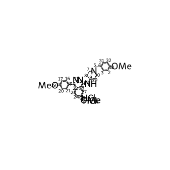 COc1ccc(CN2CCC(Nc3nnc(-c4ccc(OC)cc4)c4ccc(OC)cc34)CC2)cc1.Cl.Cl